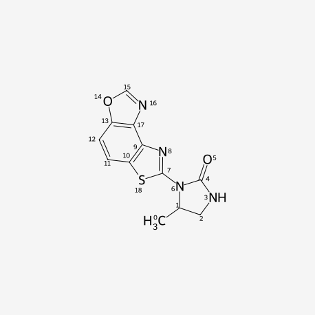 CC1CNC(=O)N1c1nc2c(ccc3ocnc32)s1